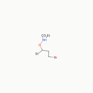 CCOC(=O)NOC(CC)CCBr